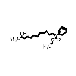 CCOC(=O)N(CCCCCCCCCCC(C)C)c1ccccc1